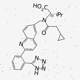 CC(C)[C@@H](C(=O)O)N(Cc1ccc2nc(-c3ccccc3-c3nnn[nH]3)ccc2c1)C(=O)CC1CC1